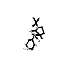 CC(C)(C)N1CCC(C)(S(=O)(=O)C2CCOCC2)C1=O